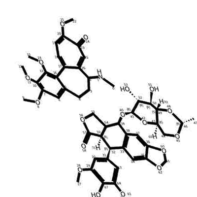 CNC1CCc2cc(OC)c(OC)c(OC)c2-c2ccc(OC)c(=O)cc21.COc1cc([C@@H]2c3cc4c(cc3C(O[C@@H]3O[C@@H]5CO[C@@H](C)O[C@H]5[C@H](O)[C@H]3O)C3COC(=O)[C@@H]32)OCO4)cc(OC)c1O